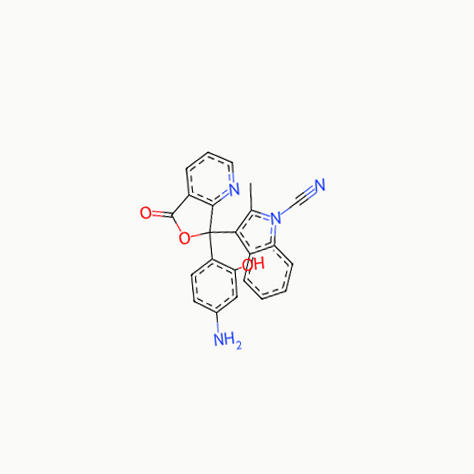 Cc1c(C2(c3ccc(N)cc3O)OC(=O)c3cccnc32)c2ccccc2n1C#N